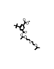 COC(=O)c1cc(C(=O)OC(C)OCCOCCOC(C)C)cc(C(C)(C)C)c1